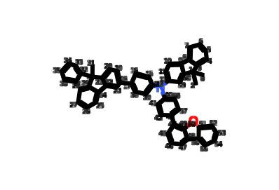 CC1(C)c2ccccc2-c2ccc(N(c3ccc(-c4ccc5c(c4)-c4ccccc4C5(C)c4ccccc4)cc3)c3ccc(-c4cccc5c4oc4ccccc45)cc3)cc21